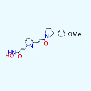 COc1ccc(C2CCCN(C(=O)C=Cc3cccc(C=CC(=O)NO)n3)C2)cc1